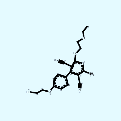 CCOCCSc1nc(N)c(C#N)c(-c2ccc(OCCO)cc2)c1C#N